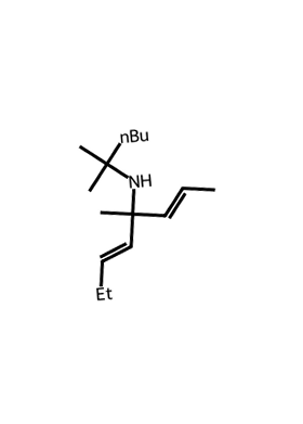 CC=CC(C)(C=CCC)NC(C)(C)CCCC